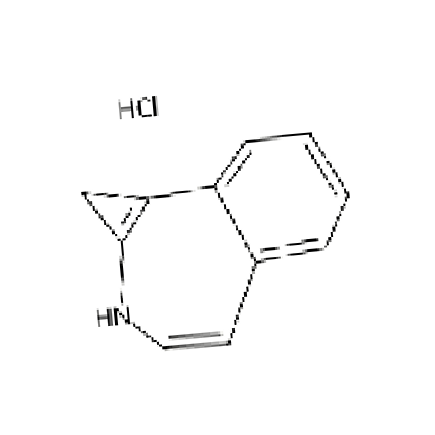 C1=Cc2ccccc2C2=C(C2)N1.Cl